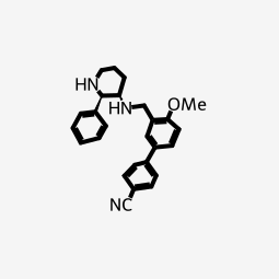 COc1ccc(-c2ccc(C#N)cc2)cc1CN[C@H]1CCCN[C@@H]1c1ccccc1